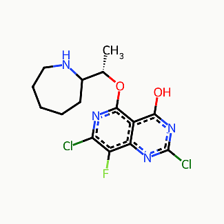 C[C@H](Oc1nc(Cl)c(F)c2nc(Cl)nc(O)c12)C1CCCCCN1